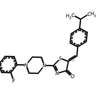 CC(C)c1ccc(/C=C2\SC(N3CCN(c4ccccc4F)CC3)=NC2=O)cc1